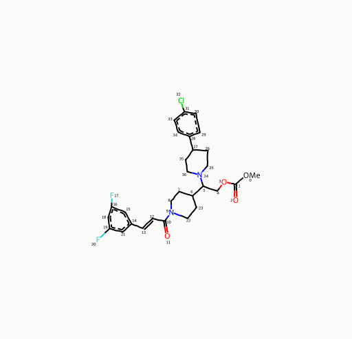 COC(=O)OCC(C1CCN(C(=O)/C=C/c2cc(F)cc(F)c2)CC1)N1CCC(c2ccc(Cl)cc2)CC1